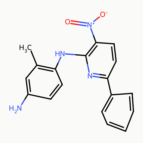 Cc1cc(N)ccc1Nc1nc(-c2ccccc2)ccc1[N+](=O)[O-]